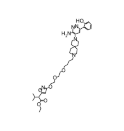 CCOC(=O)C(c1cc(OCCOCCOCCCCN2CCC3(CC2)CCN(c2cc(-c4ccccc4O)nnc2N)CC3)no1)C(C)C